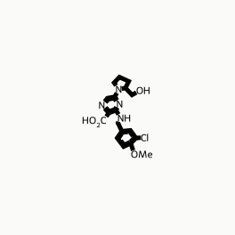 COc1ccc(CNc2nc(N3CCCC3CO)cnc2C(=O)O)cc1Cl